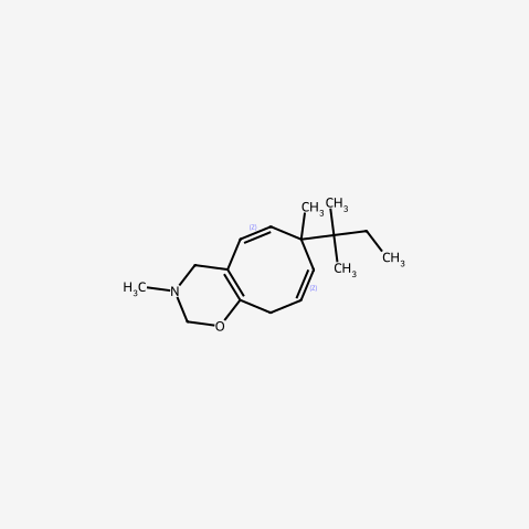 CCC(C)(C)C1(C)/C=C\CC2=C(/C=C\1)CN(C)CO2